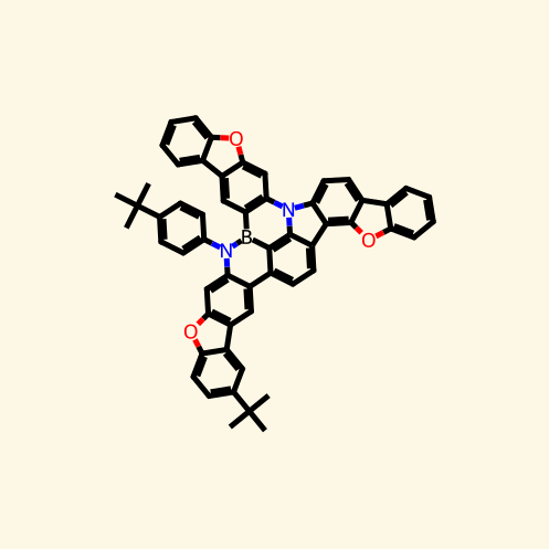 CC(C)(C)c1ccc(N2B3c4cc5c(cc4-n4c6ccc7c8ccccc8oc7c6c6ccc(c3c64)-c3cc4c(cc32)oc2ccc(C(C)(C)C)cc24)oc2ccccc25)cc1